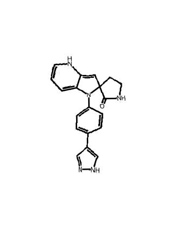 O=C1NCCC12C=C1NC=CC=C1N2c1ccc(-c2cn[nH]c2)cc1